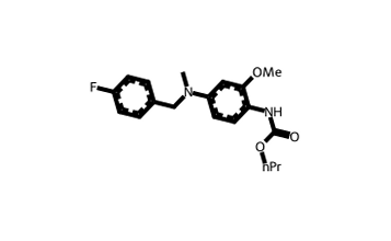 CCCOC(=O)Nc1ccc(N(C)Cc2ccc(F)cc2)cc1OC